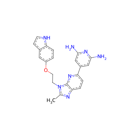 Cc1nc2ccc(-c3cc(N)nc(N)c3)nc2n1CCOc1ccc2[nH]ccc2c1